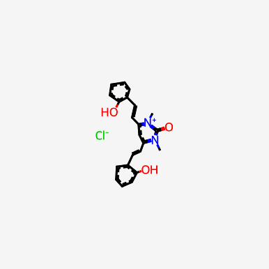 Cn1c(C=Cc2ccccc2O)cc(C=Cc2ccccc2O)[n+](C)c1=O.[Cl-]